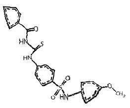 COc1ccc(NS(=O)(=O)c2ccc(NC(=S)NC(=O)c3ccccc3)cc2)cc1